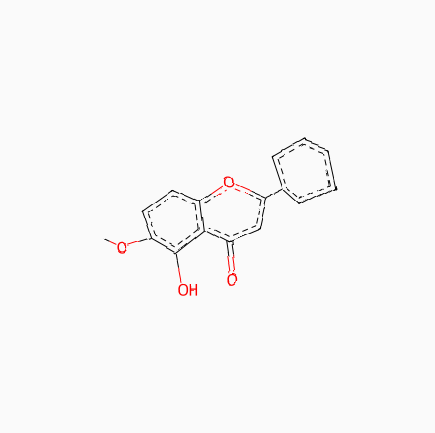 COc1ccc2oc(-c3ccccc3)cc(=O)c2c1O